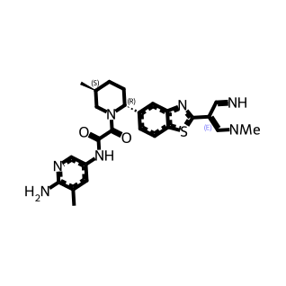 CN/C=C(\C=N)c1nc2cc([C@H]3CC[C@H](C)CN3C(=O)C(=O)Nc3cnc(N)c(C)c3)ccc2s1